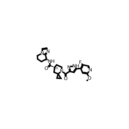 COc1cc(-c2cc(C(=O)N3CC[C@H](C(=O)N[C@@H]4CCCn5ccnc54)CC34CC4)n[nH]2)c(F)cn1